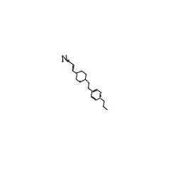 CCCc1ccc(CCC2CCC(C=CC#N)CC2)cc1